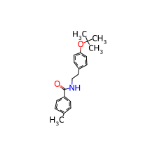 Cc1ccc(C(=O)NCCc2ccc(OC(C)(C)C)cc2)cc1